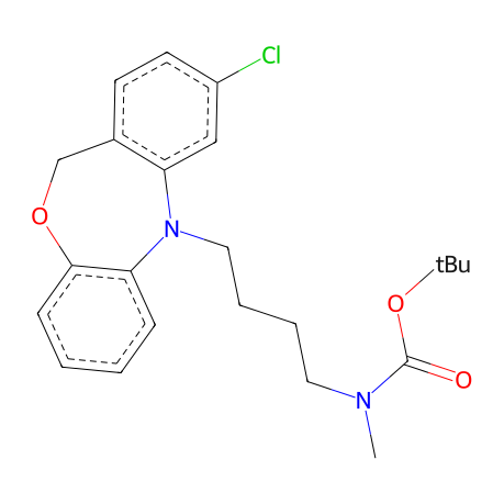 CN(CCCCN1c2cc(Cl)ccc2COc2ccccc21)C(=O)OC(C)(C)C